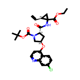 C=C[C@H]1CC1(NC(=O)[C@@H]1C[C@@H](Oc2ccnc3cc(Cl)ccc23)CN1C(=O)OC(C)(C)C)C(=O)OCC